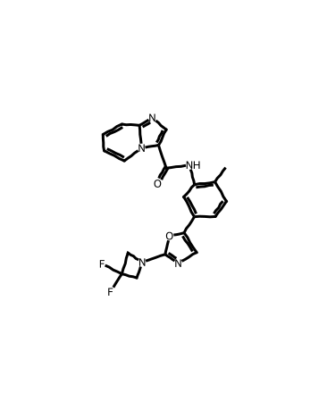 Cc1ccc(-c2cnc(N3CC(F)(F)C3)o2)cc1NC(=O)c1cnc2ccccn12